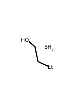 B.CCCCO